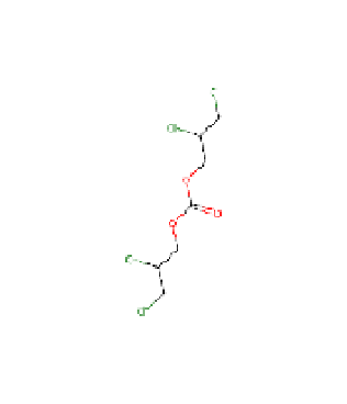 O=C(OCC(Cl)CCl)OCC(Cl)CCl